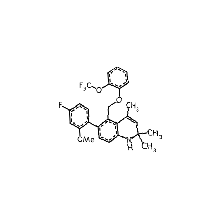 COc1cc(F)ccc1-c1ccc2c(c1COc1ccccc1OC(F)(F)F)C(C)=CC(C)(C)N2